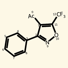 CC(=O)c1c(-c2ccccc2)noc1C(F)(F)F